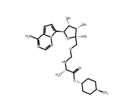 C[C@H](NCOC[C@@]1(C#N)O[C@@H](c2ccc3c(N)ncnn23)[C@H](O)[C@@H]1O)C(=O)O[C@H]1CC[C@H](C)CC1